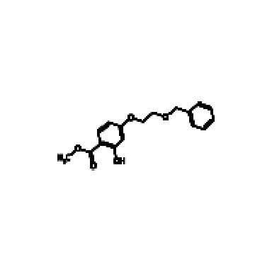 COC(=O)c1ccc(OCCOCc2ccccc2)cc1O